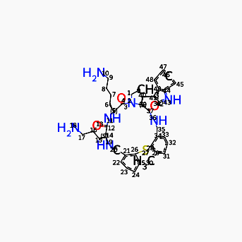 CCN1C(=O)[C@H](CCCCN)NC(=O)[C@H](CCCN)NCc2ccccc2Sc2c(C)cccc2CNC(=O)[C@@H]1Cc1c[nH]c2ccccc12